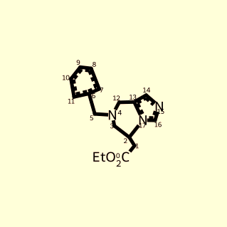 CCOC(=O)CC1CN(Cc2ccccc2)Cc2cncn21